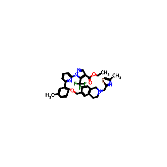 CCOC(=O)c1cnn(-c2cccc(-c3cc(C)ccc3OCc3ccc4c(c3)CCN(Cc3nc(C)cs3)C4)n2)c1C(F)(F)F